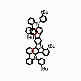 CC(C)(C)c1cccc(N(c2ccccc2-c2ccccc2)c2ccc3c4cc5c(cc4n4c6c(C(C)(C)C)cccc6c2c34)c2ccc(N(c3cccc(C(C)(C)C)c3)c3ccccc3-c3ccccc3)c3c4cccc(C(C)(C)C)c4n5c23)c1